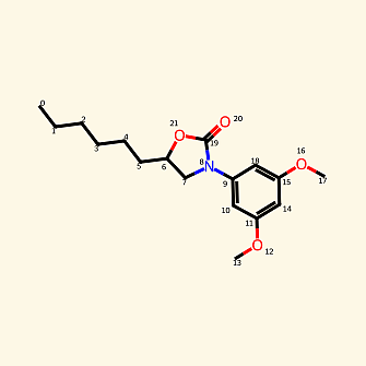 CCCCCCC1CN(c2cc(OC)cc(OC)c2)C(=O)O1